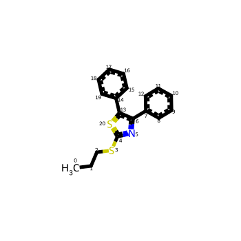 CCCSc1nc(-c2ccccc2)c(-c2ccccc2)s1